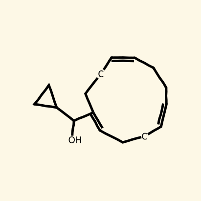 OC(C1=CCCC=CCCC=CCC1)C1CC1